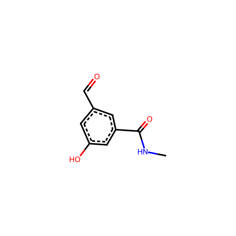 CNC(=O)c1cc(O)cc(C=O)c1